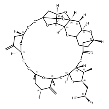 C=C1C[C@@H]2CCC34C[C@H]5O[C@@H]6[C@@H](OC7CC[C@H](CC(=O)C[C@@H]8[C@@H](C)[C@@H](C[C@H](O)CC)O[C@H]8C[C@H]8O[C@@H](CC[C@@H]1O2)C[C@@H](C)C8=C)O[C@@H]7[C@@H]6O3)[C@H]5O4